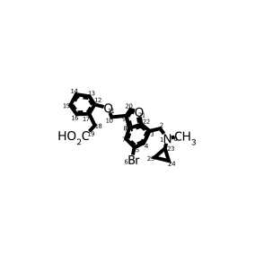 CN(Cc1cc(Br)cc2c(COc3ccccc3CC(=O)O)coc12)C1CC1